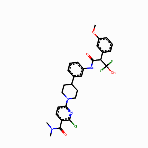 COc1cccc(C(C(=O)Nc2cccc(C3CCN(c4ccc(C(=O)N(C)C)c(Cl)n4)CC3)c2)C(O)(F)F)c1